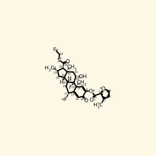 Cc1ccoc1C(=O)OC1=C[C@@]2(C)C(=CC1=O)[C@@H](F)C[C@@H]1[C@@H]3C[C@@H](C)[C@@H](C(=O)SCF)[C@@]3(C)C[C@H](O)[C@@]12F